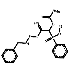 CCOP(=S)(c1ccccc1)C(OC(=O)NC)C(=N)SSNCc1ccccc1